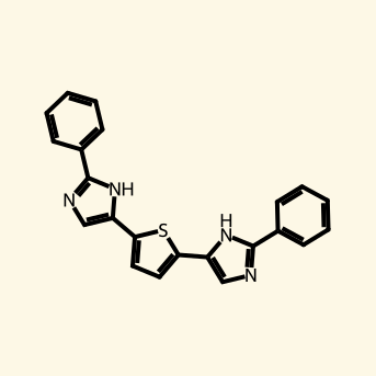 c1ccc(-c2ncc(-c3ccc(-c4cnc(-c5ccccc5)[nH]4)s3)[nH]2)cc1